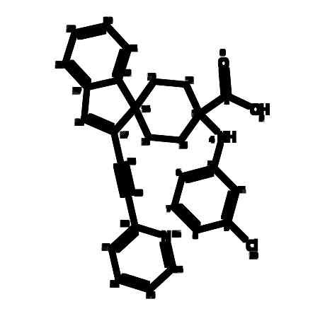 O=C(O)C1(Nc2cccc(Cl)c2)CCC2(CC1)C(C#Cc1ccccn1)=Cc1ccccc12